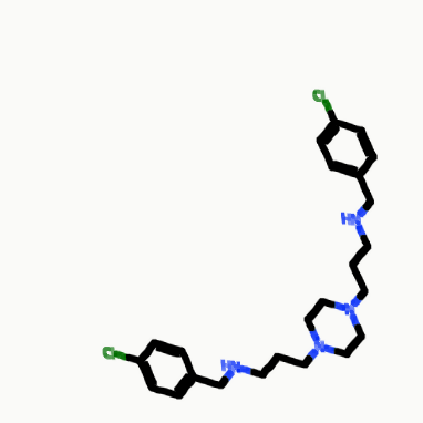 Clc1ccc(CNCCCN2CCN(CCCNCc3ccc(Cl)cc3)CC2)cc1